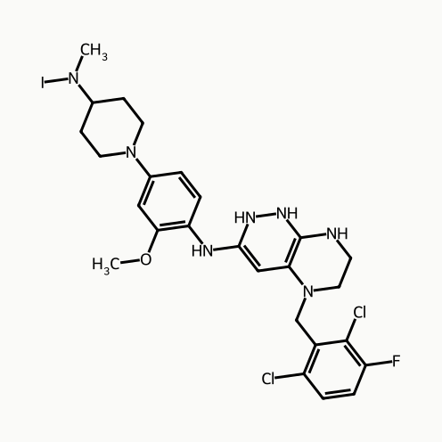 COc1cc(N2CCC(N(C)I)CC2)ccc1NC1=CC2=C(NCCN2Cc2c(Cl)ccc(F)c2Cl)NN1